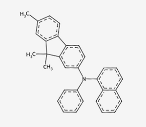 Cc1ccc2c(c1)C(C)(C)c1cc(N(c3ccccc3)c3cccc4ccccc34)ccc1-2